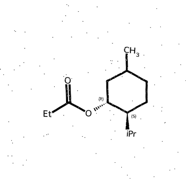 CCC(=O)O[C@@H]1CC(C)CC[C@H]1C(C)C